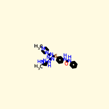 Cc1cc(Nc2nc(Sc3cccc(NC(=O)Nc4ccccc4)c3)nc(N3CCN(C)CC3)n2)n[nH]1